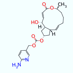 C[C@H]1CCC/C=C/[C@@H]2C[C@H](OC(=O)OCc3ccc(N)nc3)C[C@H]2[C@H](O)/C=C/C(=O)O1